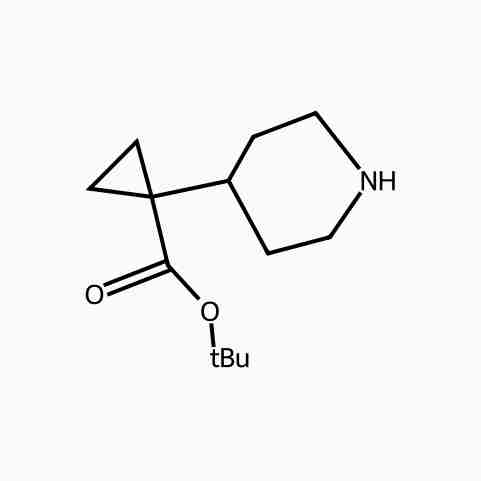 CC(C)(C)OC(=O)C1(C2CCNCC2)CC1